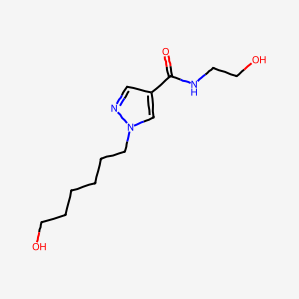 O=C(NCCO)c1cnn(CCCCCCO)c1